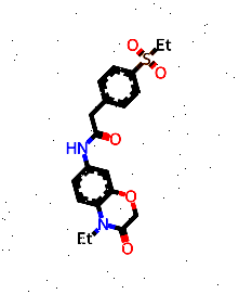 CCN1C(=O)COc2cc(NC(=O)Cc3ccc(S(=O)(=O)CC)cc3)ccc21